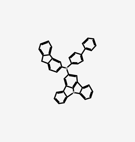 c1ccc(-c2ccc(N(c3ccc4c(c3)-c3ccccc3C4)c3cc4c5ccccc5n5c6ccccc6c(c3)c45)cc2)cc1